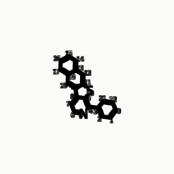 c1ccc(-c2nccc3c2sc2cc4ccccc4cc23)cc1